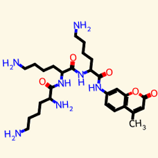 Cc1cc(=O)oc2cc(NC(=O)C(CCCCN)NC(=O)C(CCCCN)NC(=O)C(N)CCCCN)ccc12